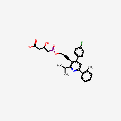 Cc1ccccc1-c1cc(-c2ccc(F)cc2)c(C#CCO[PH](=O)CC(O)CC(=O)O)c(C(C)C)n1